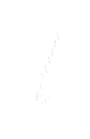 CCCCCCCCCCCCCCC[Si]1(O[Si](C)(C)C)OO1